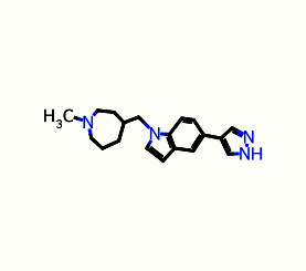 CN1CCCC(Cn2ccc3cc(-c4cn[nH]c4)ccc32)CC1